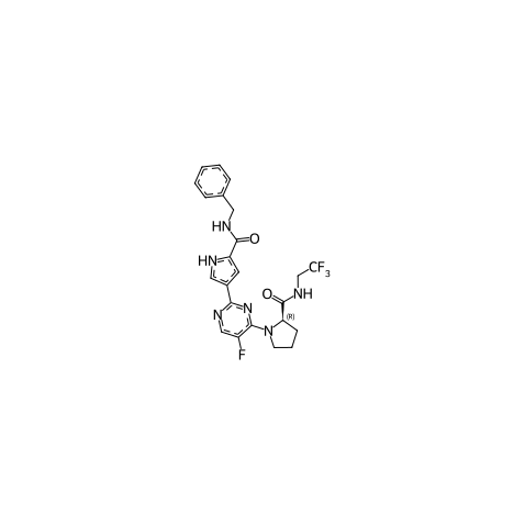 O=C(NCc1ccccc1)c1cc(-c2ncc(F)c(N3CCC[C@@H]3C(=O)NCC(F)(F)F)n2)c[nH]1